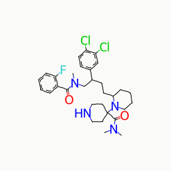 CN(C)C(=O)C1(N2CCCCC2CCC(CN(C)C(=O)c2ccccc2F)c2ccc(Cl)c(Cl)c2)CCNCC1